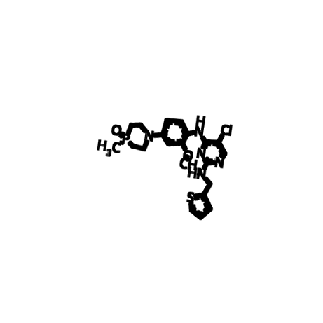 COc1cc(N2CCP(C)(=O)CC2)ccc1Nc1nc(NCc2cccs2)ncc1Cl